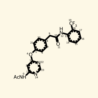 CC(=O)Nc1cc(Oc2ccc(CC(=O)Nc3ccccc3C(F)(F)F)cc2)ncn1